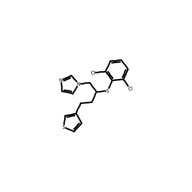 Clc1cccc(Cl)c1SC(CCc1ccsc1)Cn1ccnc1